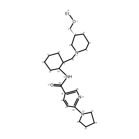 CCOC[C@@H]1CCCN(CC2CCCCC2NC(=O)c2ccc(N3CCCC3)nc2)C1